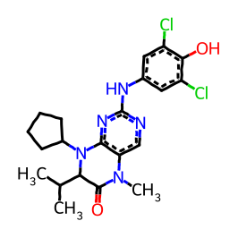 CC(C)C1C(=O)N(C)c2cnc(Nc3cc(Cl)c(O)c(Cl)c3)nc2N1C1CCCC1